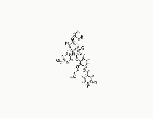 COCCOc1cc(Cn2c(=O)c3cc(OC(CF)CF)c(F)cc3n(C3CCN(C=O)CC3)c2=O)ccc1OCc1ccc(Cl)c(Cl)c1